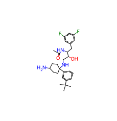 CC(=O)NC(Cc1cc(F)cc(F)c1)C(O)CNC1(c2cccc(C(C)(C)C)c2)CCC(N)CC1